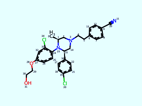 C[C@H]1CN(CCc2ccc(C#N)cc2)C[C@@H](c2ccc(Cl)cc2)N1c1ccc(OCCO)cc1Cl